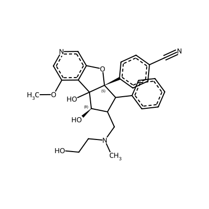 COc1cncc2c1C1(O)[C@H](O)C(CN(C)CCO)C(c3ccccc3)[C@@]1(c1ccc(C#N)cc1)O2